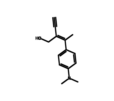 C#CC(CO)=C(C)c1ccc(N(C)C)cc1